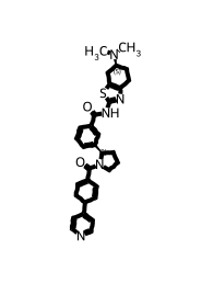 CN(C)[C@H]1CCc2nc(NC(=O)c3cccc([C@H]4CCCN4C(=O)C4=CCC(c5ccncc5)C=C4)c3)sc2C1